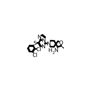 C[C@@H]1OCC2(CCN(c3ncc(Sc4cccc(Cl)c4Cl)c4nccn34)CC2)[C@@H]1N